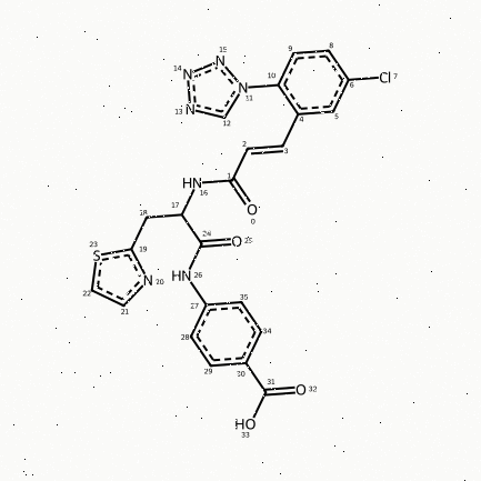 O=C(C=Cc1cc(Cl)ccc1-n1cnnn1)NC(Cc1nccs1)C(=O)Nc1ccc(C(=O)O)cc1